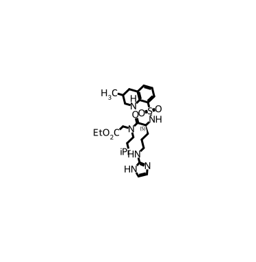 CCOC(=O)CN(CCC(C)C)C(=O)[C@H](CCCNc1ncc[nH]1)NS(=O)(=O)c1cccc2c1NCC(C)C2